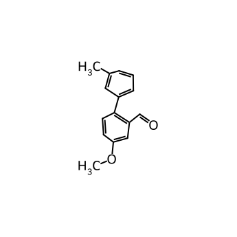 COc1ccc(-c2cccc(C)c2)c(C=O)c1